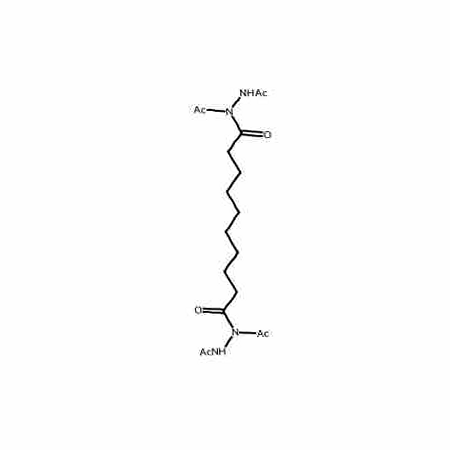 CC(=O)NN(C(C)=O)C(=O)CCCCCCCCC(=O)N(NC(C)=O)C(C)=O